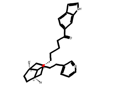 O=C(CCCC[C@@H]1C[C@H]2CC[C@@H](C1)C2CCCc1cccnc1)c1ccc2cc[nH]c2c1